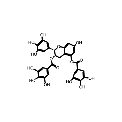 O=C(Oc1cc(O)cc2c1C[C@@H](OC(=O)c1cc(O)c(O)c(O)c1)[C@@H](c1cc(O)c(O)c(O)c1)O2)c1cc(O)c(O)c(O)c1